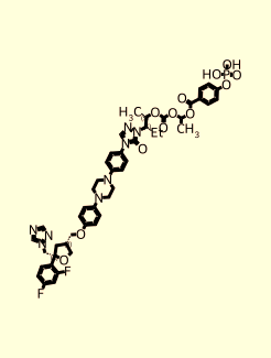 CC[C@@H]([C@H](C)OC(=O)OC(C)OC(=O)c1ccc(OP(=O)(O)O)cc1)n1ncn(-c2ccc(N3CCN(c4ccc(OC[C@@H]5CO[C@@](Cn6cncn6)(c6ccc(F)cc6F)C5)cc4)CC3)cc2)c1=O